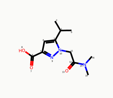 CC(C)c1cc(C(=O)O)nn1CC(=O)N(C)C